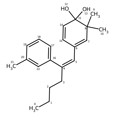 CCCCC(=CC1=CC(C)(C)C(O)(O)C=C1)c1cccc(C)c1